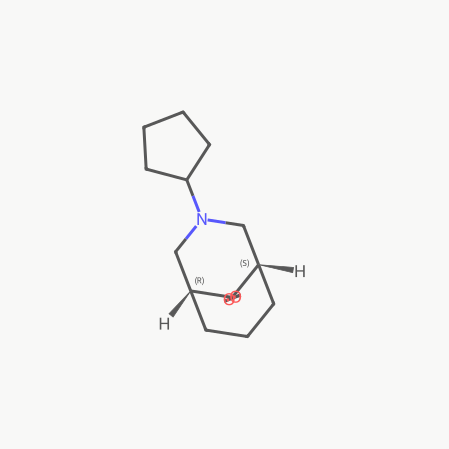 C1CCC(N2C[C@H]3CCC[C@@H](C2)C32OCCO2)C1